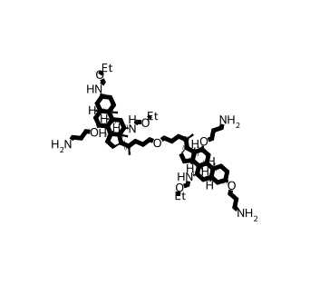 CCOCN[C@@H]1CC[C@@]2(C)[C@@H](C1)C[C@@H](OCCCN)[C@@H]1[C@@H]2C[C@H](NCOCC)[C@]2(C)[C@@H]([C@H](C)CCCOCCC[C@@H](C)[C@H]3CC[C@@H]4[C@@H]3[C@@H](OCCCN)C[C@H]3[C@H]4[C@@H](NCOCC)C[C@@H]4C[C@H](OCCCN)CC[C@@]43C)CC[C@@H]12